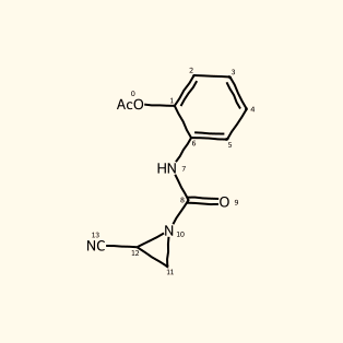 CC(=O)Oc1ccccc1NC(=O)N1CC1C#N